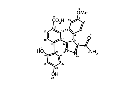 COc1ccc(-n2c(C(N)=O)nnc2-c2cc(C(=O)O)ccc2-c2ccc(O)cc2O)cc1